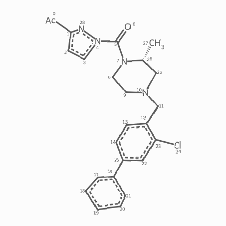 CC(=O)c1ccn(C(=O)N2CCN(Cc3ccc(-c4ccccc4)cc3Cl)C[C@H]2C)n1